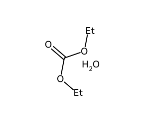 CCOC(=O)OCC.O